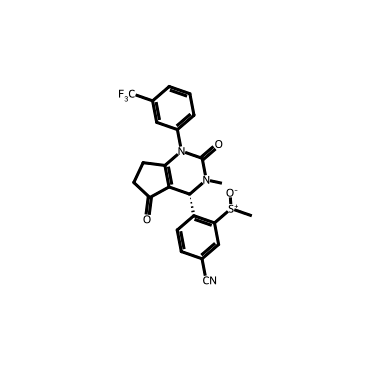 CN1C(=O)N(c2cccc(C(F)(F)F)c2)C2=C(C(=O)CC2)[C@H]1c1ccc(C#N)cc1[S+](C)[O-]